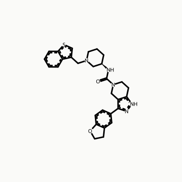 O=C(N[C@@H]1CCCN(Cc2csc3ccccc23)C1)N1CCc2[nH]nc(-c3ccc4c(c3)CCO4)c2C1